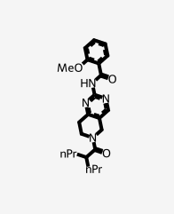 CCCC(CCC)C(=O)N1CCc2nc(NC(=O)c3ccccc3OC)ncc2C1